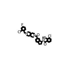 O=C(NC1CCc2ccc(C(=O)N3CCC4(CCN(Cc5ccc(F)cc5Cl)CC4)CC3)cc21)c1cccc(Cl)c1Cl